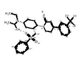 CCN(C(C)C)[C@@H]1CC[C@H](N2CCC(c3cccc(C(F)(F)F)c3)=CC2=O)[C@H](CS(=O)(=O)c2ccccc2)C1